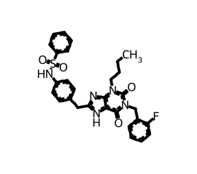 CCCCn1c(=O)n(Cc2ccccc2F)c(=O)c2[nH]c(Cc3ccc(NS(=O)(=O)c4ccccc4)cc3)nc21